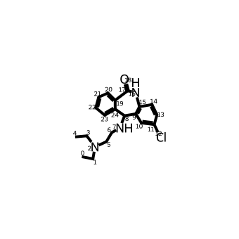 CCN(CC)CCNC1c2cc(Cl)ccc2NC(=O)c2ccccc21